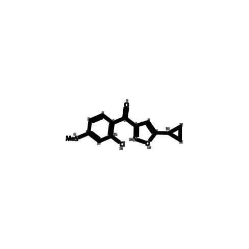 CSc1ccc(C(=O)c2cc(C3CC3)on2)c(Cl)c1